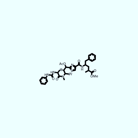 CCC(C)C(NC(=O)Nc1ccccc1)C(=O)N(C)C(CC(OC(C)=O)c1nc(C(=O)NC(Cc2ccccc2)CC(C)C(=O)OC)cs1)C(C)C